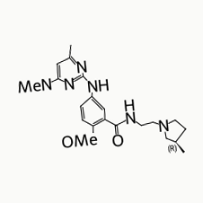 CNc1cc(C)nc(Nc2ccc(OC)c(C(=O)NCCN3CC[C@@H](C)C3)c2)n1